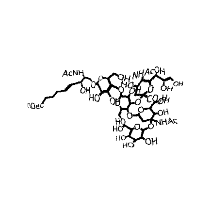 CCCCCCCCCCCCC/C=C/[C@H](O)[C@H](COC1OC(CO)C(OC2OC(CO)C(OC3CC(NC(C)=O)(OC4OC(CO)C(O)C(O)C4O)C(O)C(CO)O3)C(OC3(C(=O)O)CC(O)C(NC(C)=O)C([C@H](O)[C@H](O)CO)O3)C2O)C(O)C1O)NC(C)=O